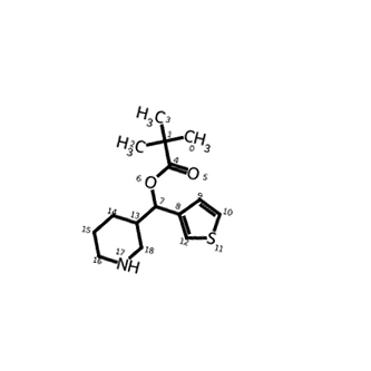 CC(C)(C)C(=O)OC(c1ccsc1)C1CCCNC1